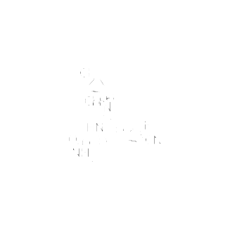 N#Cc1ccc(OCC2(CNC(=O)COC(N)=O)CN(S(=O)(=O)c3ccc(Cl)cc3Cl)C2)cc1F